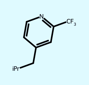 CC(C)Cc1ccnc(C(F)(F)F)c1